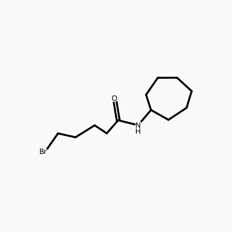 O=C(CCCCBr)NC1CCCCCC1